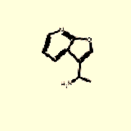 CC(N)c1coc2ncccc12